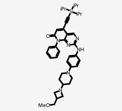 COCC1CN(C2CCN(c3ccc(Nc4ncc5c(C#C[Si](C(C)C)(C(C)C)C(C)C)cc(=O)n(-c6ccccc6)c5n4)cc3)CC2)C1